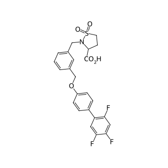 O=C(O)C1CCS(=O)(=O)N1Cc1cccc(COc2ccc(-c3cc(F)c(F)cc3F)cc2)c1